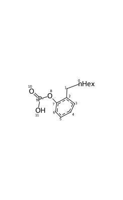 CCCCCCCc1ccccc1O[P](=O)O